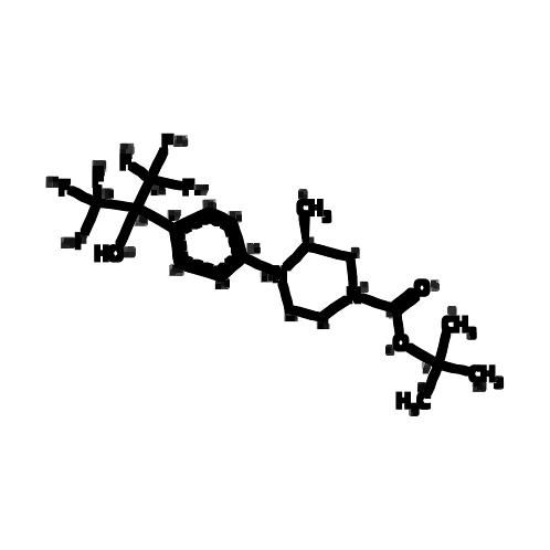 C[C@H]1CN(C(=O)OC(C)(C)C)CCN1c1ccc(C(O)(C(F)(F)F)C(F)(F)F)cc1